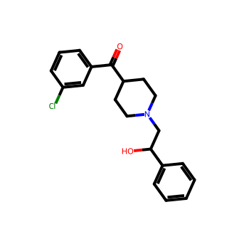 O=C(c1cccc(Cl)c1)C1CCN(CC(O)c2ccccc2)CC1